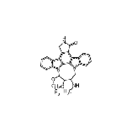 CNC1Cn2c3ccccc3c3c4c(c5c6ccccc6n(c5c32)C(OC)C1OC)CNC4=O